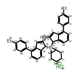 CCCC1=Cc2c(-c3ccc(CC)cc3)cccc2[CH]1[Hf]1([CH]2C(CCC)=Cc3c(-c4ccc(CC)cc4)cccc32)[CH]2CCCC[CH]21.Cl.Cl